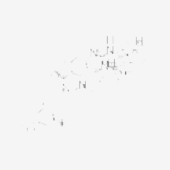 COc1ccc(CCn2cnc3cc(N=C(NC4C[C@H]5C[C@H]([C@H]4C)C5(C)C)N4CC(C)CC(C)C4)ccc3c2=O)c(F)c1